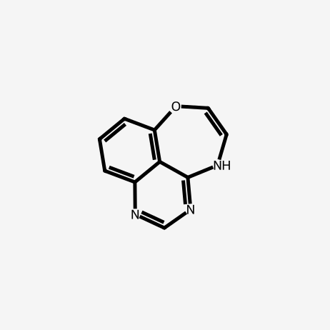 C1=COc2cccc3ncnc(c23)N1